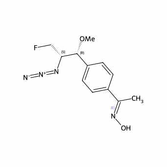 CO[C@H](c1ccc(/C(C)=N/O)cc1)[C@@H](CF)N=[N+]=[N-]